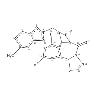 Cc1ccc2cn(CC34CC(C(=O)N5N=CCC5c5cc(F)cc(F)c5)(C3)C4)nc2c1